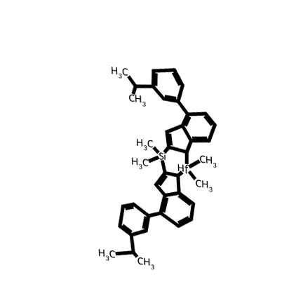 CC(C)c1cccc(-c2cccc3c2C=C2[CH]3[Hf]([CH3])([CH3])[CH]3C(=Cc4c(-c5cccc(C(C)C)c5)cccc43)[Si]2(C)C)c1